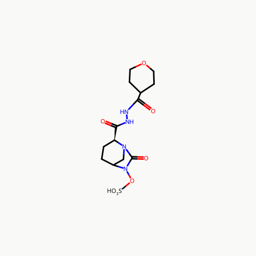 O=C(NNC(=O)[C@@H]1CCC2CN1C(=O)N2OS(=O)(=O)O)C1CCOCC1